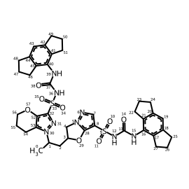 CC(CC1Cn2ncc(S(=O)(=O)NC(=O)Nc3c4c(cc5c3CCC5)CCC4)c2O1)n1nc(S(=O)(=O)NC(=O)Nc2c3c(cc4c2CCC4)CCC3)c2c1CCCO2